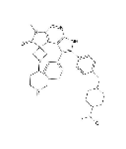 CN1C(=O)C2(CN(C3CCNCC3)C2)c2c1cnc1[nH]c(-c3ccc(CN4CCC([S+](C)[O-])CC4)cc3)c(-c3ccccc3)c21